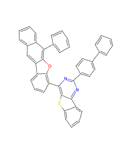 c1ccc(-c2ccc(-c3nc(-c4cccc5c4oc4c(-c6ccccc6)c6ccccc6cc45)c4sc5ccccc5c4n3)cc2)cc1